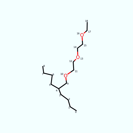 CCCCC(CCCC)COCCOCCOCC